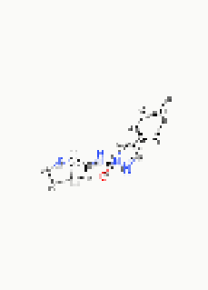 Cc1ccc(-c2cnn(C(=O)NC3CC4CCN(C4)C3)c2)cc1